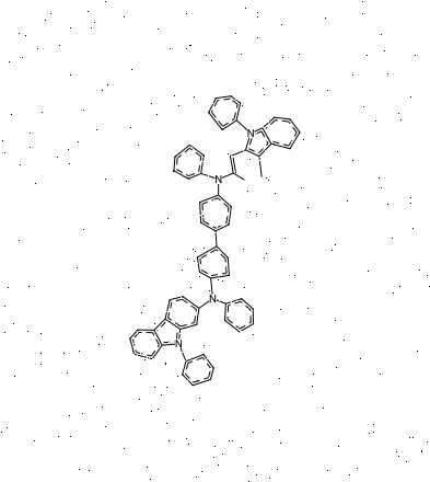 C/C(=C\c1c(C)c2ccccc2n1-c1ccccc1)N(c1ccccc1)c1ccc(-c2ccc(N(c3ccccc3)c3ccc4c5ccccc5n(-c5ccccc5)c4c3)cc2)cc1